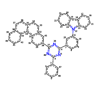 c1ccc(-c2nc(-c3cccc(-n4c5ccccc5c5ccccc54)c3)nc(-c3ccc4c(ccc5ccc6ccccc6c54)c3)n2)cc1